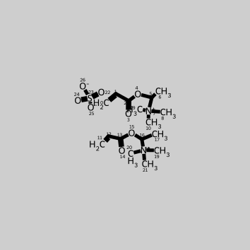 C=CC(=O)OC(C)[N+](C)(C)C.C=CC(=O)OC(C)[N+](C)(C)C.O=S(=O)([O-])[O-]